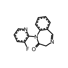 O=C1CN=Cc2ccccc2N1c1ncccc1F